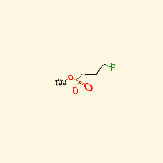 CC(C)(C)OS(=O)(=O)CCCF